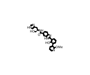 COc1ncccc1-c1cccc(-c2nc3ccc(C(=O)N[C@@H](CO)Cc4c[nH]cn4)cc3[nH]2)c1O